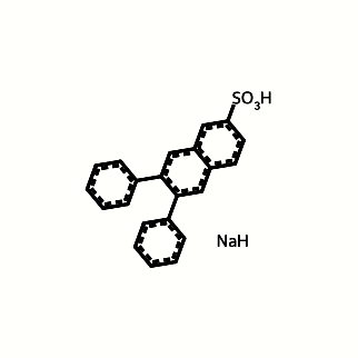 O=S(=O)(O)c1ccc2cc(-c3ccccc3)c(-c3ccccc3)cc2c1.[NaH]